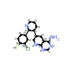 Nc1ncnc2ncc(-c3cccnc3-c3ccc(F)c(Cl)c3)cc12